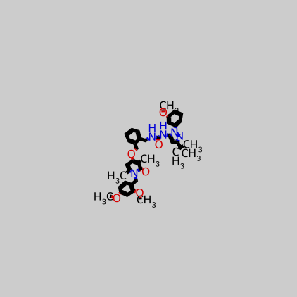 COc1cccc(-n2nc(C(C)(C)C)cc2NC(=O)NCc2ccccc2COc2cc(C)n(Cc3ccc(OC)cc3OC)c(=O)c2C)c1